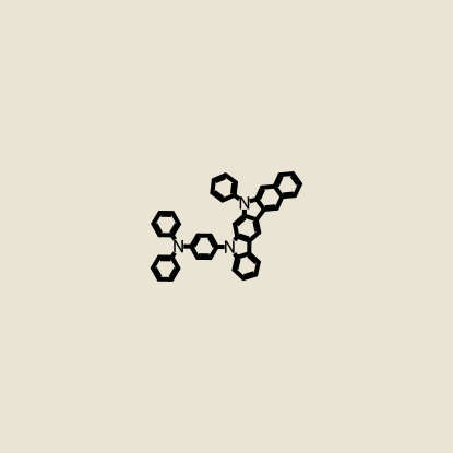 c1ccc(N(c2ccccc2)c2ccc(-n3c4ccccc4c4cc5c6cc7ccccc7cc6n(-c6ccccc6)c5cc43)cc2)cc1